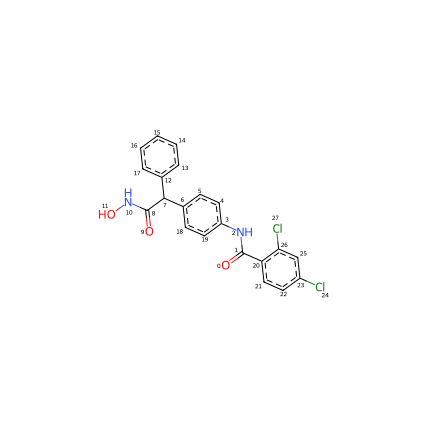 O=C(Nc1ccc(C(C(=O)NO)c2ccccc2)cc1)c1ccc(Cl)cc1Cl